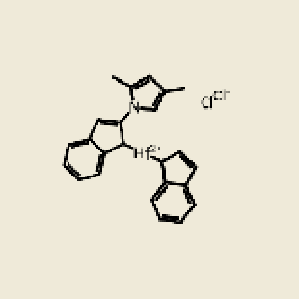 Cc1cc(C)n(C2=Cc3ccccc3[CH]2[Hf+2][CH]2C=Cc3ccccc32)c1.[Cl-].[Cl-]